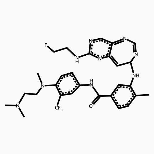 Cc1ccc(C(=O)Nc2ccc(N(C)CCN(C)C)c(C(F)(F)F)c2)cc1NC1C=c2nc(NCCF)ncc2=NC=N1